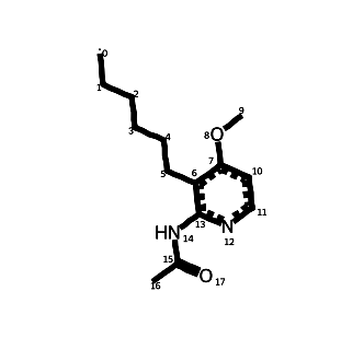 [CH2]CCCCCc1c(OC)ccnc1NC(C)=O